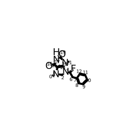 CN1CN(C(F)Cc2ccccc2)c2c1c(=O)[nH]c(=O)n2C